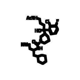 CNCC(CC1CCCCC1)NC(=O)N1CCCC(C(O)(CCCNC(C)=O)c2cccc(F)c2Cl)C1